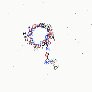 CC[C@@H]1NC(=O)[C@H]([C@H](O)[C@H](C)CCCC(=O)NCCNCc2ccc(-c3ccc4ncnc(Nc5ccc(OCc6cccc(F)c6)c(Cl)c5)c4c3)o2)N(C)C(=O)[C@H](C(C)C)N(C)C(=O)[C@H](CC(C)C)N(C)C(=O)[C@H](CC(C)C)N(C)C(=O)[C@@H](C)NC(=O)[C@H](C)NC(=O)[C@H](CC(C)C)N(C)C(=O)[C@H](C(C)C)NC(=O)[C@H](CCC(C)C)N(C)C(=O)CN(C)C1=O